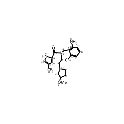 COC1CCN(CCN(Cc2c(N)cccc2Cl)C(=O)c2cc(C(F)(F)F)n[nH]2)C1